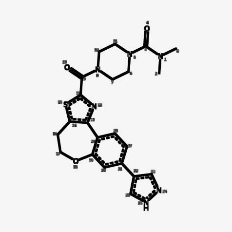 CN(C)C(=O)N1CCN(C(=O)c2nc3c(s2)CCOc2cc(-c4cn[nH]c4)ccc2-3)CC1